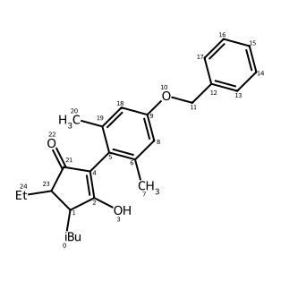 CCC(C)C1C(O)=C(c2c(C)cc(OCc3ccccc3)cc2C)C(=O)C1CC